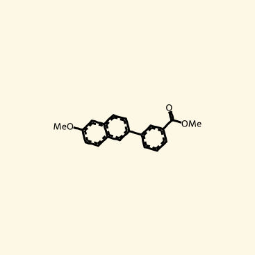 COC(=O)c1cccc(-c2ccc3cc(OC)ccc3c2)c1